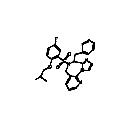 CC(C)COc1ccc(F)cc1S(=O)(=O)N1Cc2cccnc2-n2ccnc2C1Cc1ccccc1